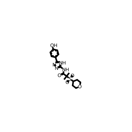 CC(C)(C(=O)Nc1nnc(-c2ccc(O)cc2)[nH]1)S(=O)(=O)C1CCOCC1